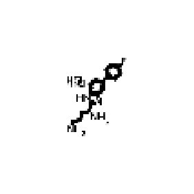 Cl.Cl.NCCC[C@H](N)c1nc2cc(-c3ccc(F)cc3)ccc2[nH]1